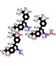 CC(C)(C)c1cc(C(C)(CC(=O)NN)c2ccc(O)c(C(C)(C)C)c2)ccc1O.CC(C)(C)c1cc(C(C)(CC(=O)NN)c2ccc(O)c(C(C)(C)C)c2)ccc1O.CC(C)(C)c1cc(C(C)(CC(=O)NN)c2ccc(O)c(C(C)(C)C)c2)ccc1O.OP(O)O